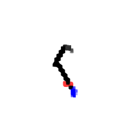 CCCCCCCCC1CC1CCCCCCCC(=O)OCN=[N+]=[N-]